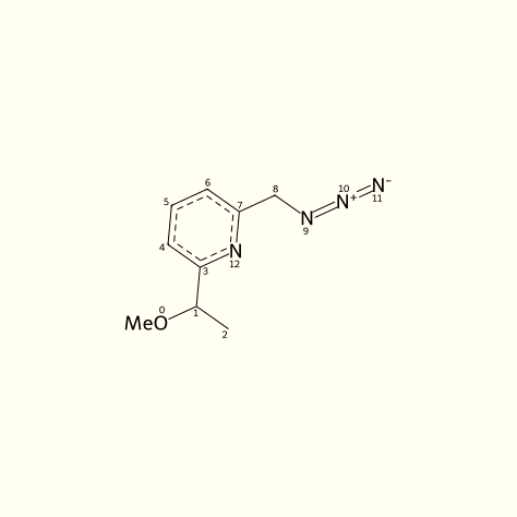 COC(C)c1cccc(CN=[N+]=[N-])n1